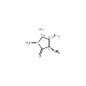 C[C@H]1[C@@H](C)N(C)C(=O)[C@@H]1C